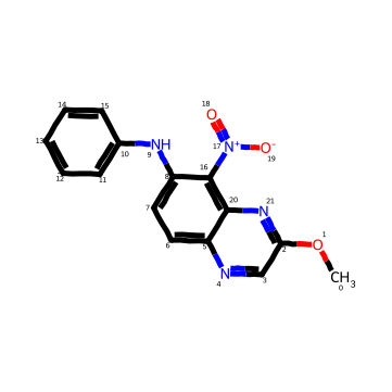 COc1cnc2ccc(Nc3c[c]ccc3)c([N+](=O)[O-])c2n1